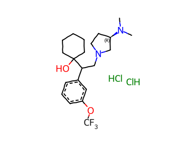 CN(C)[C@@H]1CCN(CC(c2cccc(OC(F)(F)F)c2)C2(O)CCCCC2)C1.Cl.Cl